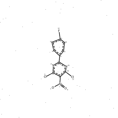 O=[N+]([O-])c1c(Cl)nc(-c2ccc(F)cc2)nc1Cl